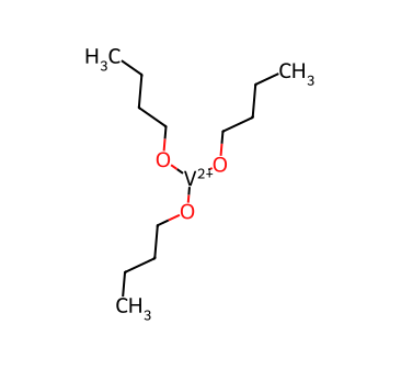 CCCC[O][V+2]([O]CCCC)[O]CCCC